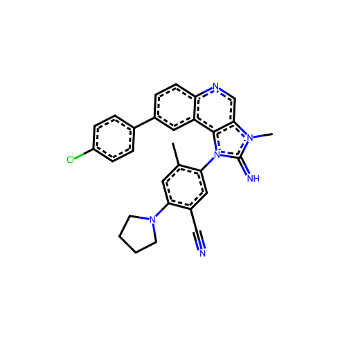 Cc1cc(N2CCCC2)c(C#N)cc1-n1c(=N)n(C)c2cnc3ccc(-c4ccc(Cl)cc4)cc3c21